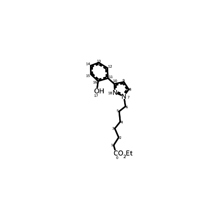 CCOC(=O)CCCCCCn1ccc(-c2ccccc2O)n1